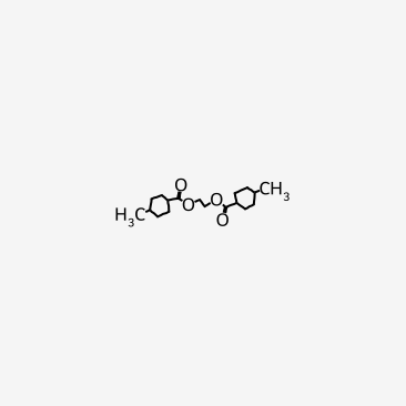 CC1CCC(C(=O)OCCOC(=O)C2CCC(C)CC2)CC1